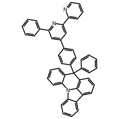 c1ccc(-c2cc(-c3ccc(C4(c5ccccc5)c5ccccc5-n5c6ccccc6c6cccc4c65)cc3)cc(-c3ccccn3)n2)cc1